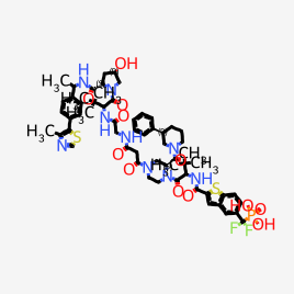 Cc1ncsc1-c1ccc(C(C)NC(=O)[C@@H]2C[C@@H](O)CN2C(=O)C(NC(=O)CNC(=O)CC(=O)N2CCN(C(=O)C(NC(=O)c3cc4cc(C(F)(F)P(=O)(O)O)ccc4s3)C(C)(C)C)[C@H](C(=O)N3CCC[C@H](c4ccccc4)C3)C2)C(C)(C)C)cc1